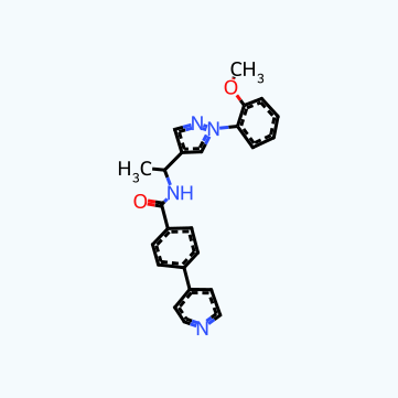 COc1ccccc1-n1cc(C(C)NC(=O)c2ccc(-c3ccncc3)cc2)cn1